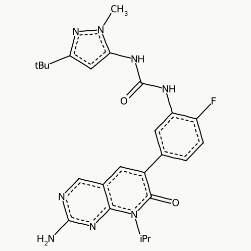 CC(C)n1c(=O)c(-c2ccc(F)c(NC(=O)Nc3cc(C(C)(C)C)nn3C)c2)cc2cnc(N)nc21